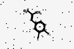 CC(=Cc1ccc(F)c(F)c1)[N+](=O)[O-]